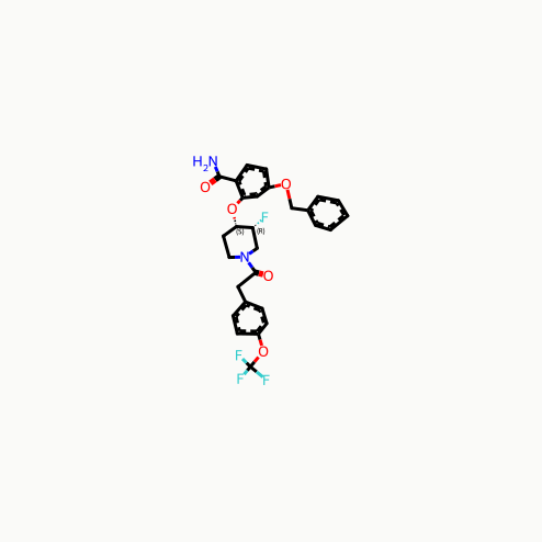 NC(=O)c1ccc(OCc2ccccc2)cc1O[C@H]1CCN(C(=O)Cc2ccc(OC(F)(F)F)cc2)C[C@H]1F